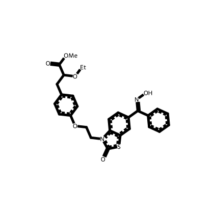 CCOC(Cc1ccc(OCCn2c(=O)sc3cc(C(=NO)c4ccccc4)ccc32)cc1)C(=O)OC